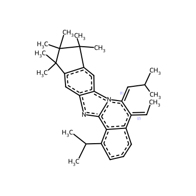 C/C=c1\c(=C/C(C)C)n2c3cc4c(cc3nc2c2c(C(C)C)cccc12)C(C)(C)C(C)(C)C4(C)C